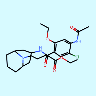 CCOC(=O)CCCN1C2CCCC1CC(NC(=O)c1cc(Cl)c(NC(C)=O)cc1OCC)C2